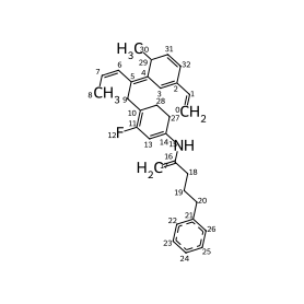 C=CC1=C/C(=C(/C=C\C)CC2=C(F)C=C(NC(=C)CCCc3ccccc3)CC2)C(C)C=C1